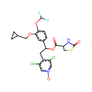 O=C1NC(C(=O)OC(Cc2c(Cl)c[n+]([O-])cc2Cl)c2ccc(OC(F)F)c(OCC3CC3)c2)CS1